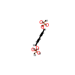 CS(=O)(=O)OCC#CC#CCOS(C)(=O)=O